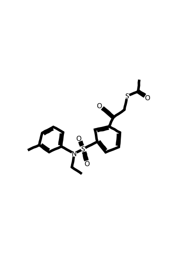 CCN(c1cccc(C)c1)S(=O)(=O)c1cccc(C(=O)CSC(C)=O)c1